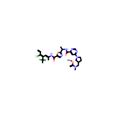 C=C/C(Cl)=C(\C=C(/C)NC(=O)c1cnc(C(C)NC(=O)c2cc(N3CCC(CN(C)C(=C)OC(C)(C)C)C3)ncn2)s1)C(C)(F)F